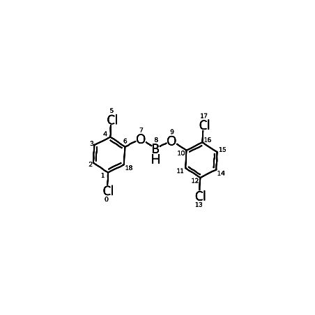 Clc1ccc(Cl)c(OBOc2cc(Cl)ccc2Cl)c1